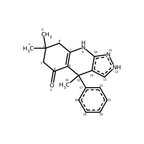 CC1(C)CC(=O)C2=C(C1)Nc1n[nH]cc1C2(C)c1ccccc1